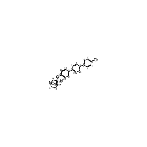 Clc1ccc(-c2ccc(-c3ccc(O[C@@H]4CN5CCC4CC5)cc3)nc2)cc1